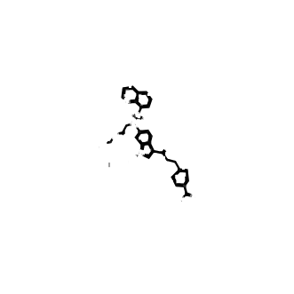 CCOC(=O)CN(c1ccc2c(C(=O)CCc3ccc(C(=N)N)cc3)cn(C)c2c1)S(=O)(=O)c1cccc2cccnc12.I